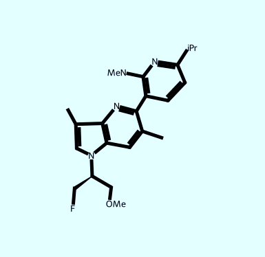 CNc1nc(C(C)C)ccc1-c1nc2c(C)cn([C@H](CF)COC)c2cc1C